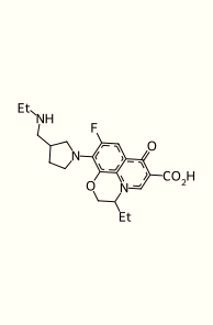 CCNCC1CCN(c2c(F)cc3c(=O)c(C(=O)O)cn4c3c2OCC4CC)C1